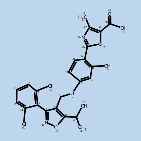 Cc1cc(OCc2c(-c3c(Cl)cccc3Cl)noc2C(C)C)ccc1-c1nc(C)c(C(=O)O)s1